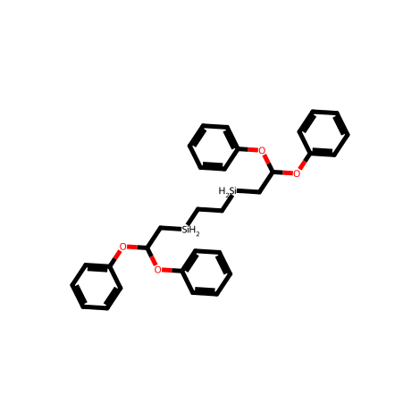 c1ccc(OC(C[SiH2]CC[SiH2]CC(Oc2ccccc2)Oc2ccccc2)Oc2ccccc2)cc1